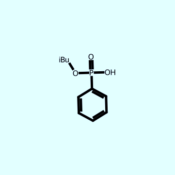 CCC(C)OP(=O)(O)c1ccccc1